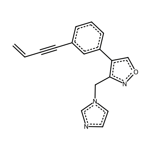 C=CC#Cc1cccc(-c2conc2Cn2ccnc2)c1